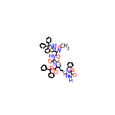 CO/N=C(/C(=O)NC1C(=O)N2C(C(=O)OC(c3ccccc3)c3ccccc3)=C(/C=C/Sc3n[nH]c(=O)c(=O)n3Cc3ccccc3)CSC12)c1csc(NC(c2ccccc2)(c2ccccc2)c2ccccc2)n1